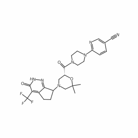 CC1(C)CN(C2CCc3c2n[nH]c(=O)c3C(F)(F)F)C[C@H](C(=O)N2CCN(c3ccc(C#N)cn3)CC2)O1